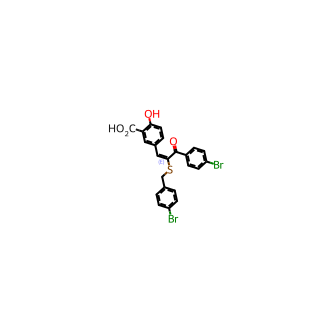 O=C(/C(=C\c1ccc(O)c(C(=O)O)c1)SCc1ccc(Br)cc1)c1ccc(Br)cc1